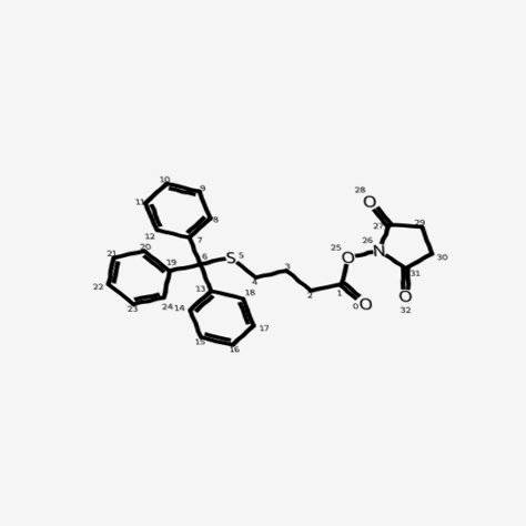 O=C(CCCSC(c1ccccc1)(c1ccccc1)c1ccccc1)ON1C(=O)CCC1=O